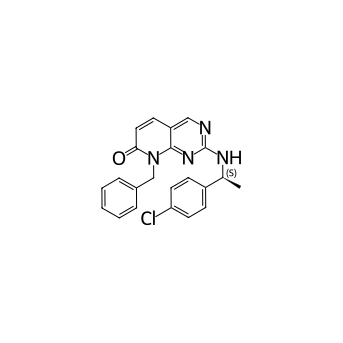 C[C@H](Nc1ncc2ccc(=O)n(Cc3ccccc3)c2n1)c1ccc(Cl)cc1